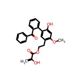 C=C(O)C(=O)OCCc1cc(-c2ccccc2C(=O)c2ccccc2)c(O)cc1OC